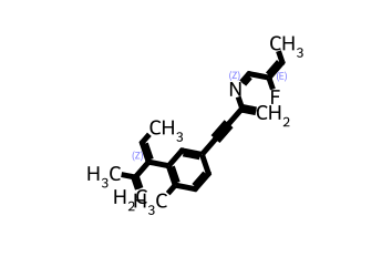 C=C(C#Cc1ccc(C)c(/C(=C\C)C(=C)C)c1)/N=C\C(F)=C/C